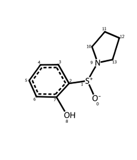 [O-][S+](c1ccccc1O)N1CCCC1